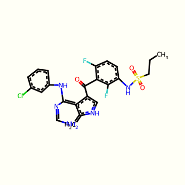 C=c1[nH]cc(C(=O)c2c(F)ccc(NS(=O)(=O)CCC)c2F)/c1=C(/N=C\N)Nc1cccc(Cl)c1